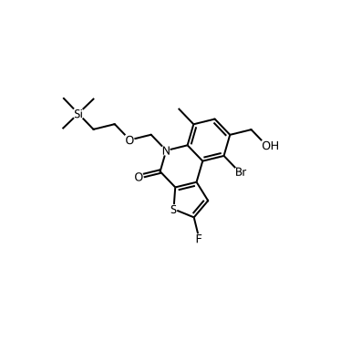 Cc1cc(CO)c(Br)c2c3cc(F)sc3c(=O)n(COCC[Si](C)(C)C)c12